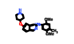 COc1cc(Nc2cc3cc(OC4CCNCC4)ccc3cn2)c(OC)cc1C